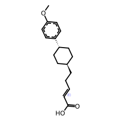 COc1ccc([C@H]2CC[C@H](CC/C=C/C(=O)O)CC2)cc1